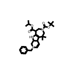 CC(C)OC(=O)C1CN(C(=O)OC(C)(C)C)CC(C)(C)C2=C1NC1CN(Cc3ccccc3)C=CC21